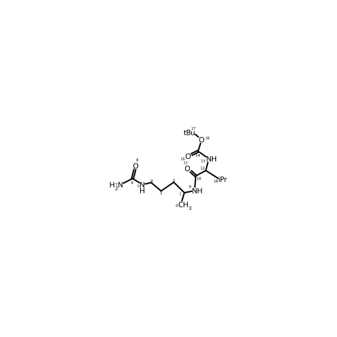 CC(CCCNC(N)=O)NC(=O)C(NC(=O)OC(C)(C)C)C(C)C